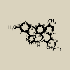 COC(c1ncc(C)cn1)C(C)SNc1nnc(-c2cncc(C)c2)n1-c1c(F)cccc1F